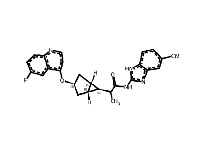 CC(C(=O)Nc1nc2cc(C#N)ccc2[nH]1)[C@H]1[C@@H]2C[C@@H](Oc3ccnc4ccc(F)cc34)C[C@@H]21